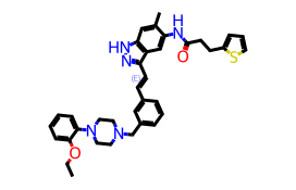 CCOc1ccccc1N1CCN(Cc2cccc(/C=C/c3n[nH]c4cc(C)c(NC(=O)CCc5cccs5)cc34)c2)CC1